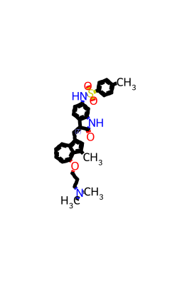 Cc1ccc(S(=O)(=O)Nc2ccc3c(c2)NC(=O)/C3=C\c2cc(C)c3c(OCCCN(C)C)ccccc2-3)cc1